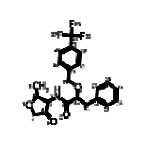 CC1OCC(=O)C1NC(=O)C(Cc1ccccc1)OCc1ccc(C(F)(F)F)cc1